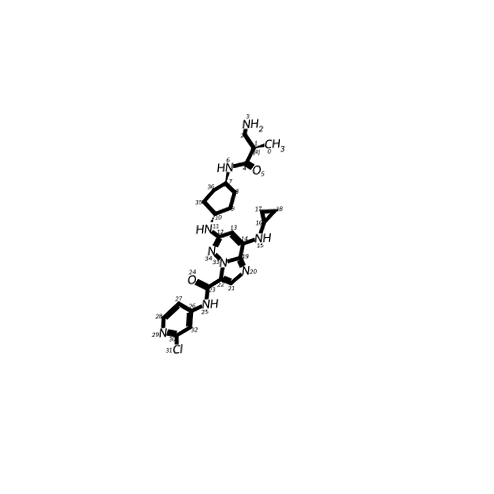 C[C@H](CN)C(=O)N[C@H]1CC[C@H](Nc2cc(NC3CC3)c3ncc(C(=O)Nc4ccnc(Cl)c4)n3n2)CC1